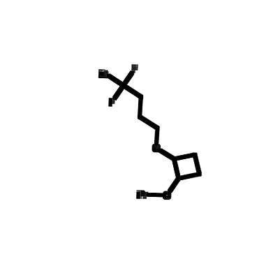 CCC(F)(F)CCCOC1CCC1OC(C)C